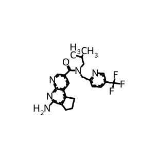 CC(C)CN(Cc1ccc(C(F)(F)F)cn1)C(=O)c1cnc2nc(N)c3c(c2c1)CCC3